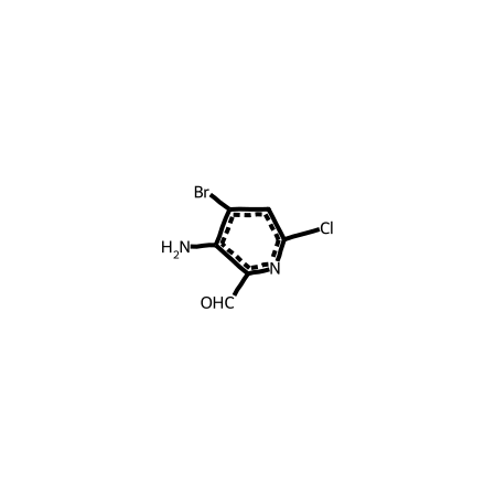 Nc1c(Br)cc(Cl)nc1C=O